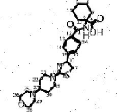 O=C(NC1(C(=O)O)CCCCC1)c1ccc(C2CSC(N3CCC(N4CCOCC4)CC3)=N2)cc1